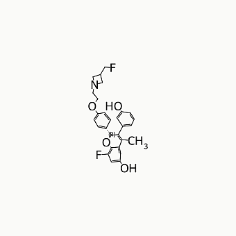 CC1=C(c2cccc(O)c2)[C@@H](c2ccc(OCCN3CC(CF)C3)cc2)Oc2c(F)cc(O)cc21